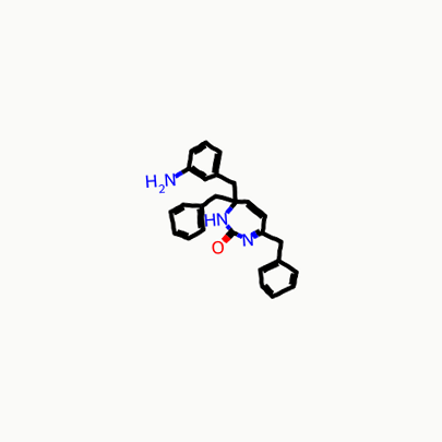 Nc1cccc(CC2(Cc3ccccc3)C=CC(Cc3ccccc3)=NC(=O)N2)c1